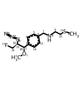 CO[C@H](c1ccc(CNCCSC)cc1)[C@@H](CF)N=[N+]=[N-]